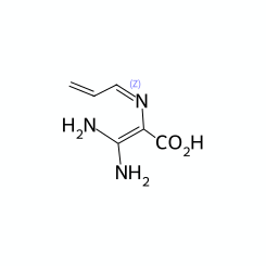 C=C/C=N\C(C(=O)O)=C(N)N